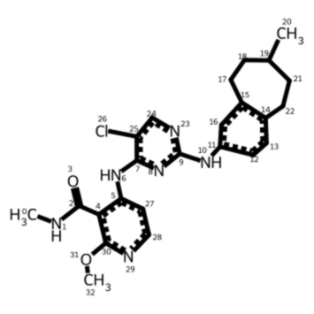 CNC(=O)c1c(Nc2nc(Nc3ccc4c(c3)CCC(C)CC4)ncc2Cl)ccnc1OC